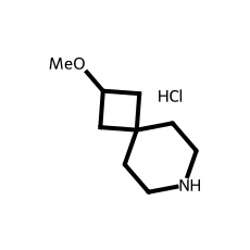 COC1CC2(CCNCC2)C1.Cl